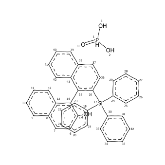 O=[PH](O)O.Oc1ccc2ccccc2c1-c1c([Si](c2ccccc2)(c2ccccc2)c2ccccc2)ccc2ccccc12